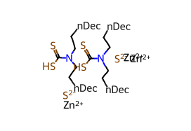 CCCCCCCCCCCCN(CCCCCCCCCCCC)C(=S)S.CCCCCCCCCCCCN(CCCCCCCCCCCC)C(=S)S.[S-2].[S-2].[Zn+2].[Zn+2].[Zn+2]